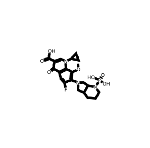 COc1c(N2CC3CCCN(P(=O)(O)O)C3C2)c(F)cc2c(=O)c(C(=O)O)cn(C3CC3)c12